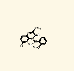 CNc1nc2ccc(Cl)nc2n([C@@H](C)c2ccccc2OC)c1=O